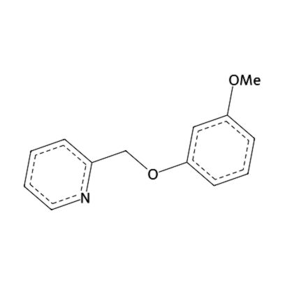 COc1cccc(OCc2ccccn2)c1